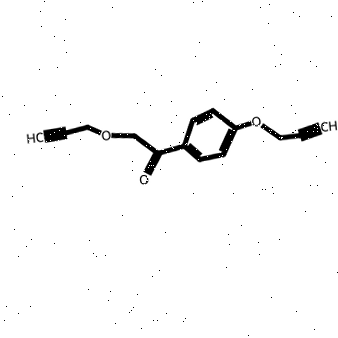 C#CCOCC(=O)c1ccc(OCC#C)cc1